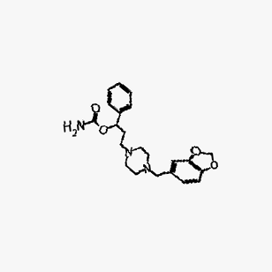 NC(=O)OC(CCN1CCN(Cc2ccc3c(c2)OCO3)CC1)c1ccccc1